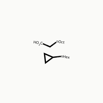 CCCCCCC1CC1.CCCCCCCCCC(=O)O